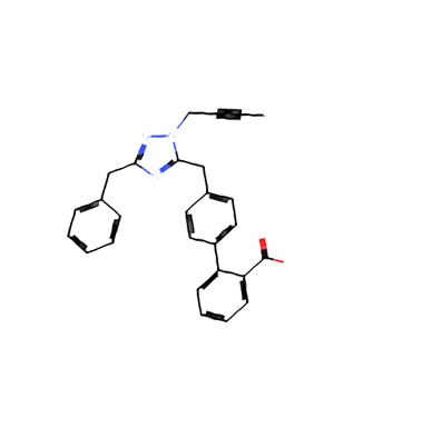 CC#CCn1nc(Cc2ccccc2)nc1Cc1ccc(-c2ccccc2C(=O)O)cc1